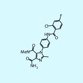 CNC(=O)c1c(C(N)=O)nc(C)n1-c1ccc(NC(=O)c2ccc(F)cc2Cl)cc1